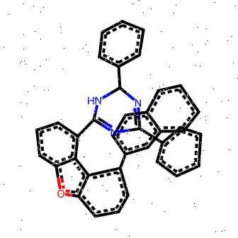 c1ccc(C2=NC(c3ccccc3)NC(c3cccc4oc5cccc(-c6ccc7ccccc7c6)c5c34)=N2)cc1